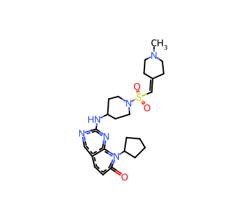 CN1CCC(=CS(=O)(=O)N2CCC(Nc3ncc4ccc(=O)n(C5CCCC5)c4n3)CC2)CC1